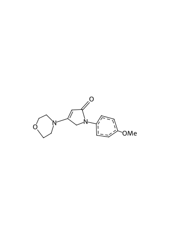 COc1ccc(N2CC(N3CCOCC3)=CC2=O)cc1